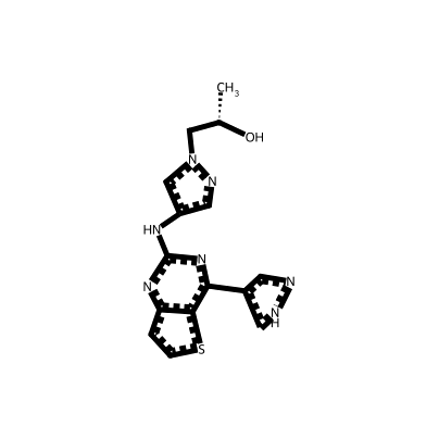 C[C@H](O)Cn1cc(Nc2nc(-c3cn[nH]c3)c3sccc3n2)cn1